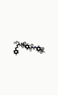 CCCC(CCCc1ccccc1)N=NS(=O)(=O)c1ccc(N(C)C(=O)/C=C/c2ccc(S(C)(=O)=O)cc2)cc1